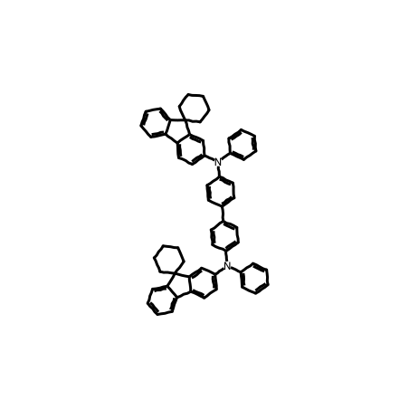 c1ccc(N(c2ccc(-c3ccc(N(c4ccccc4)c4ccc5c(c4)C4(CCCCC4)c4ccccc4-5)cc3)cc2)c2ccc3c(c2)C2(CCCCC2)c2ccccc2-3)cc1